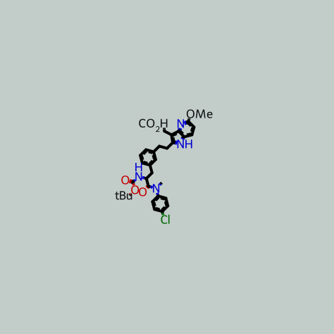 COc1ccc2[nH]c(CCc3cccc(CC(NC(=O)OC(C)(C)C)C(=O)N(C)c4ccc(Cl)cc4)c3)c(CC(=O)O)c2n1